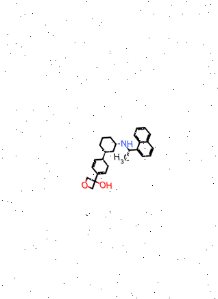 C[C@@H](N[C@H]1CCC[C@H](C2C=CC(C3(O)COC3)=CC2)C1)c1cccc2ccccc12